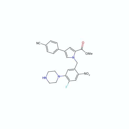 COC(=O)c1cc(-c2ccc(C#N)cc2)cn1Cc1cc(N2CCNCC2)c(F)cc1[N+](=O)[O-]